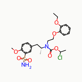 CCOc1ccccc1OCCN(C(=O)OC(C)Cl)[C@H](C)Cc1ccc(OC)c(S(N)(=O)=O)c1